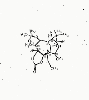 CC1=C[C@]23C(O)[C@@H](C(O[Si](C)(C)C(C)(C)C)[C@H](C)[C@H]4OC(=O)O[C@]42C1)[C@H]1[C@@H](C[C@H]3C)C1(C)C